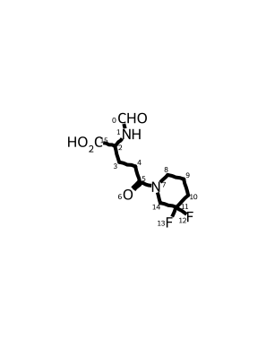 O=CNC(CCC(=O)N1CCCC(F)(F)C1)C(=O)O